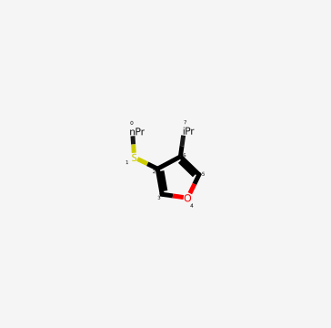 CCCSc1cocc1C(C)C